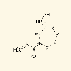 C=CC(=O)N1CCCC[C@@H](NS)C1